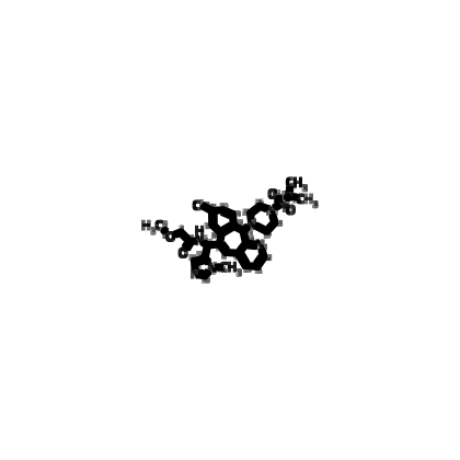 COCC(=O)NC(C1=Cc2cccnc2C(N2CCN(S(=O)(=O)N(C)C)CC2)c2ccc(Cl)cc21)c1cncn1C